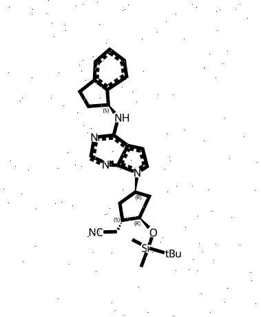 CC(C)(C)[Si](C)(C)O[C@@H]1C[C@H](n2ccc3c(N[C@H]4CCc5ccccc54)ncnc32)C[C@H]1CC#N